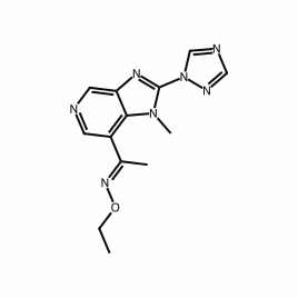 CCO/N=C(\C)c1cncc2nc(-n3cncn3)n(C)c12